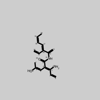 C=C/C(N)=C(\C=C(/C)O)C(=O)NC(=C)/C(C=C)=C/C=C\C